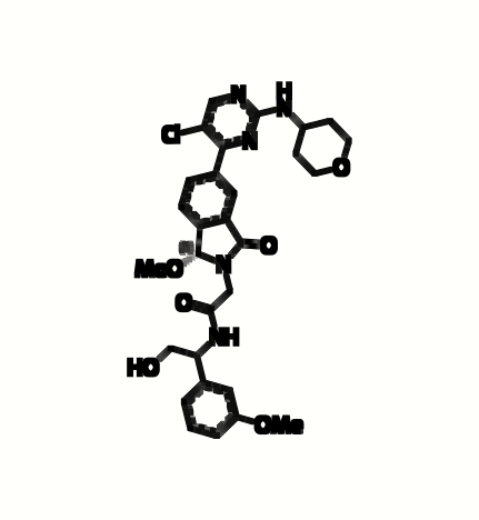 COc1cccc(C(CO)NC(=O)CN2C(=O)c3cc(-c4nc(NC5CCOCC5)ncc4Cl)ccc3[C@H]2OC)c1